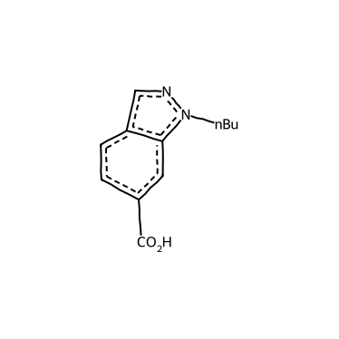 CCCCn1ncc2ccc(C(=O)O)cc21